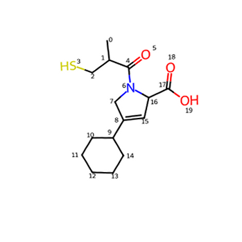 CC(CS)C(=O)N1CC(C2CCCCC2)=CC1C(=O)O